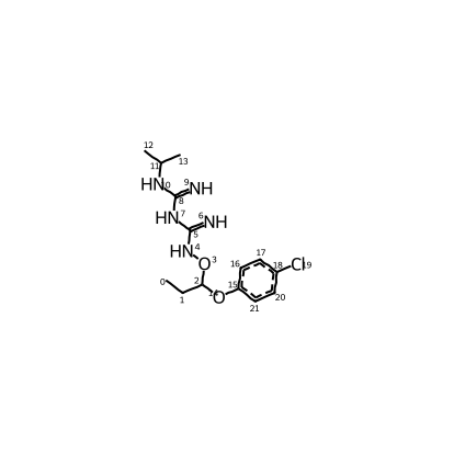 CCC(ONC(=N)NC(=N)NC(C)C)Oc1ccc(Cl)cc1